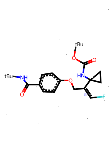 CC(C)(C)NC(=O)c1ccc(OC/C(=C/F)C2(NC(=O)OC(C)(C)C)CC2)cc1